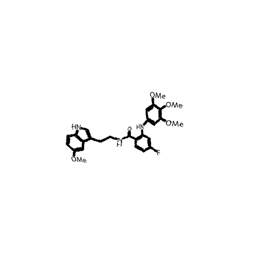 COc1ccc2[nH]cc(CCNC(=O)c3ccc(F)cc3Nc3cc(OC)c(OC)c(OC)c3)c2c1